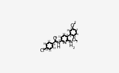 COc1ccc(OC)c(-c2ccc(NC(=O)c3ccc(Cl)cc3)nc2N)c1